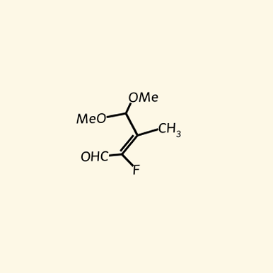 COC(OC)/C(C)=C(/F)C=O